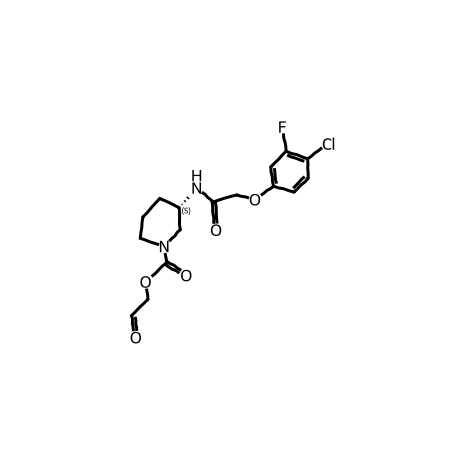 O=CCOC(=O)N1CCC[C@H](NC(=O)COc2ccc(Cl)c(F)c2)C1